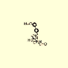 COc1cccc(-c2ccc(Cc3nc(C)c(O)c(C(=O)NCC=O)n3)cc2)c1